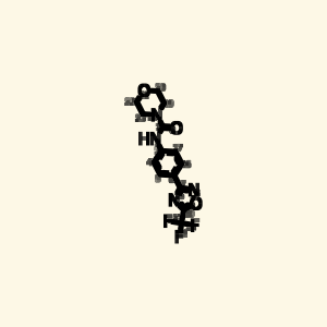 O=C(Nc1ccc(-c2noc(C(F)(F)F)n2)cc1)N1CCOCC1